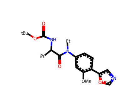 CCN(C(=O)C(NC(=O)OC(C)(C)C)C(C)C)c1ccc(-c2cnco2)c(OC)c1